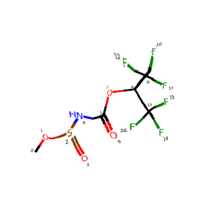 COS(=O)NC(=O)OC(C(F)(F)F)C(F)(F)F